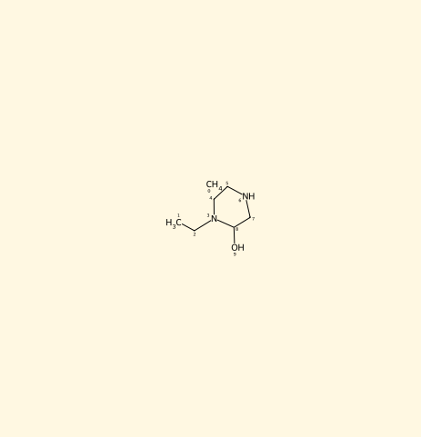 C.CCN1CCNCC1O